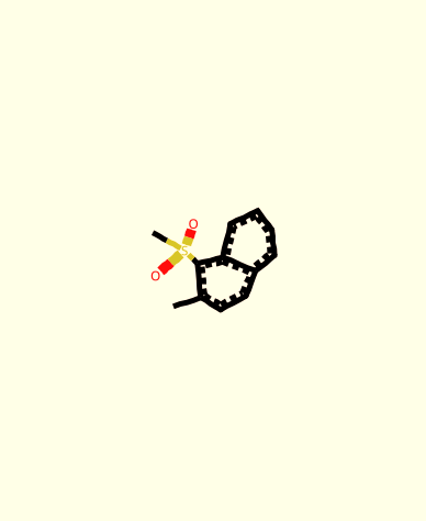 Cc1ccc2ccccc2c1S(C)(=O)=O